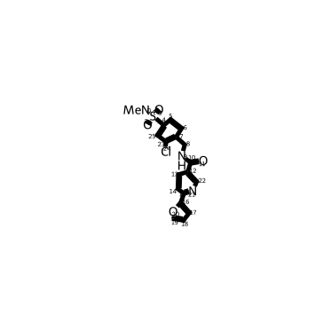 CNS(=O)(=O)c1ccc(CNC(=O)c2ccc(-c3ccco3)nc2)c(Cl)c1